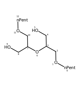 CCCCCOCC(CO)OC(CO)COCCCCC